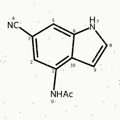 CC(=O)Nc1cc(C#N)cc2[nH]ccc12